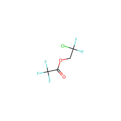 O=C(OCC(F)(F)Cl)C(F)(F)F